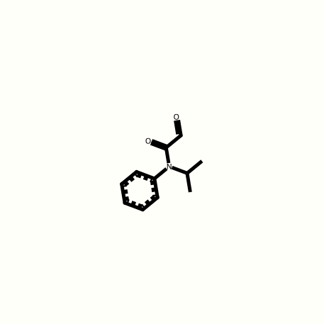 CC(C)N(C(=O)C=O)c1ccccc1